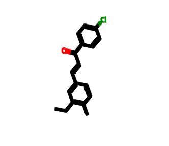 CCc1cc(/C=C/C(=O)c2ccc(Cl)cc2)ccc1C